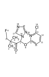 CC(C)(CF)C(=O)C(Oc1cccc(Cl)n1)n1cncn1